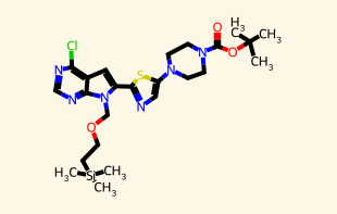 CC(C)(C)OC(=O)N1CCN(c2cnc(-c3cc4c(Cl)ncnc4n3COCC[Si](C)(C)C)s2)CC1